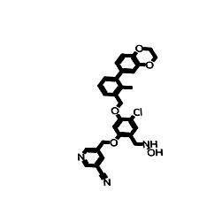 Cc1c(COc2cc(OCc3cncc(C#N)c3)c(CNO)cc2Cl)cccc1-c1ccc2c(c1)OCCO2